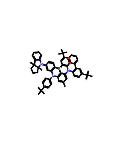 Cc1cc2c3c(c1)N(c1ccc(C(C)(C)C)cc1-c1ccccc1)c1ccc(C(C)(C)C)cc1B3c1ccc(N3c4ccccc4C4(C)CCCC34C)cc1N2c1ccc(C(C)(C)C)cc1